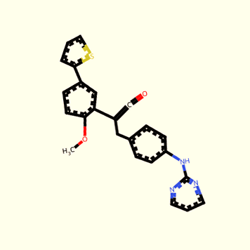 COc1ccc(-c2cccs2)cc1C(=C=O)Cc1ccc(Nc2ncccn2)cc1